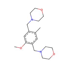 COc1cc(CN2CCOCC2)c(C)cc1CN1CCOCC1